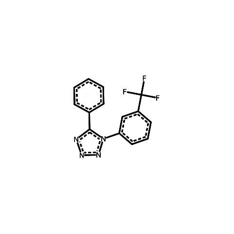 FC(F)(F)c1cccc(-n2nnnc2-c2ccccc2)c1